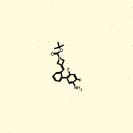 CC(C)(C)OC(=O)N1CC(=Cc2ccccc2-c2cc(N)c(F)cc2F)C1